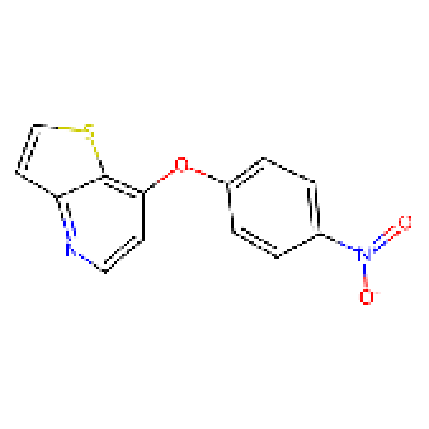 O=[N+]([O-])c1ccc(Oc2ccnc3ccsc23)cc1